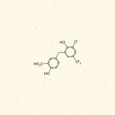 O=C(O)c1cc(Cc2cc(C(F)(F)F)cc(Cl)c2O)ccc1O